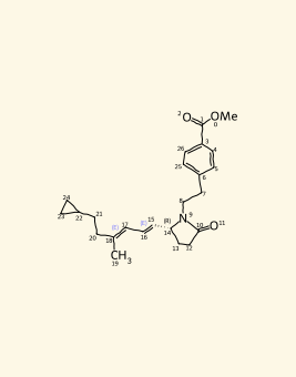 COC(=O)c1ccc(CCN2C(=O)CC[C@@H]2/C=C/C=C(\C)CCC2CC2)cc1